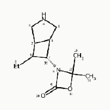 CCC1C2CNCC2[C@@H]1N1C(=O)OC1(C)C